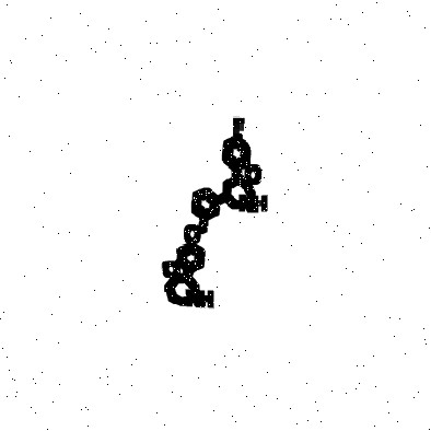 Fc1ccc2c3c(oc2c1)CNCC(c1cccc(COc2ccc4c5c(oc4c2)CCCNC5)c1)C3